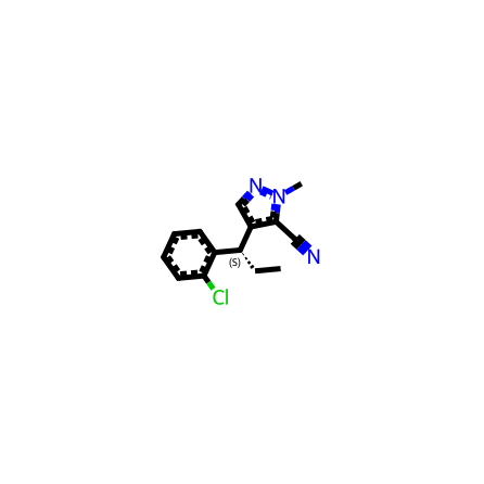 CC[C@H](c1ccccc1Cl)c1cnn(C)c1C#N